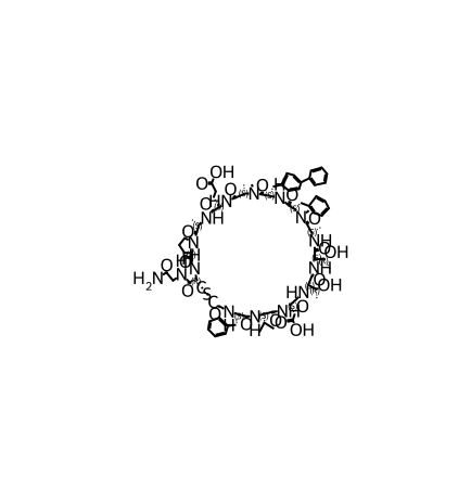 CC(C)[C@@H]1NC(=O)[C@H](Cc2ccccc2)NC(=O)CSC[C@@H](C(=O)NCC(N)=O)NC(=O)[C@@H]2CCCN2C(=O)[C@H](C)NC(=O)[C@H](CCC(=O)O)NC(=O)[C@H](C)N(C)C(=O)[C@H](Cc2ccc(-c3ccccc3)cc2)NC(=O)[C@H](Cc2ccccc2)N(C)C(=O)[C@H](C)NC(=O)[C@H]([C@@H](C)O)NC(=O)[C@H]([C@@H](C)O)NC(=O)[C@H](CC(=O)O)NC1=O